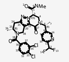 CNC(=O)[C@@H]1CN([C@H](C)c2ccc(C(F)F)nc2)C(=O)c2c3c(nn21)C[C@@H](C)N(C(=O)c1ccc(Cl)c(Cl)c1)C3